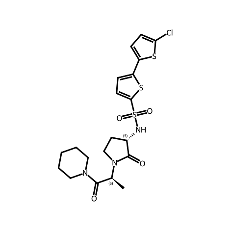 C[C@@H](C(=O)N1CCCCC1)N1CC[C@H](NS(=O)(=O)c2ccc(-c3ccc(Cl)s3)s2)C1=O